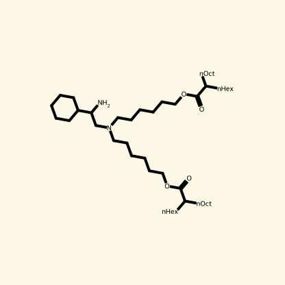 CCCCCCCCC(CCCCCC)C(=O)OCCCCCCN(CCCCCCOC(=O)C(CCCCCC)CCCCCCCC)CC(N)C1CCCCC1